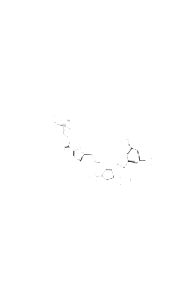 CC(O)(CO)COC(=O)c1ccc(CCC[C@@H]2[C@@H](CCc3cc(Cl)cc(Cl)c3)[C@H](O)C[C@H]2Cl)s1